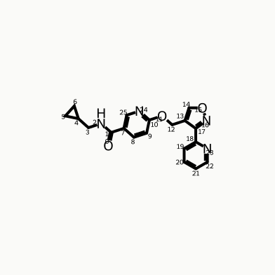 O=C(NCC1CC1)c1ccc(OCc2conc2-c2ccccn2)nc1